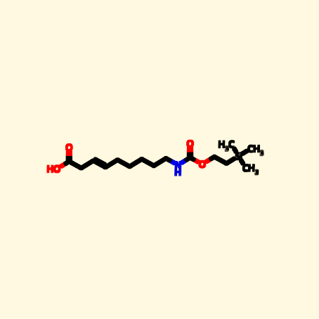 C[Si](C)(C)CCOC(=O)NCCCCCC=CCC(=O)O